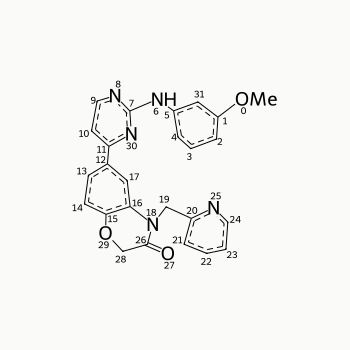 COc1cccc(Nc2nccc(-c3ccc4c(c3)N(Cc3ccccn3)C(=O)CO4)n2)c1